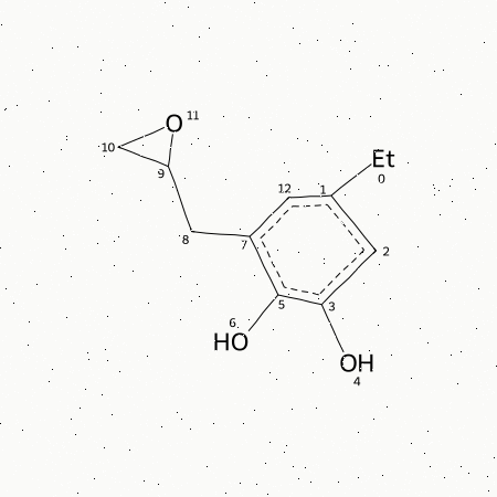 CCc1cc(O)c(O)c(CC2CO2)c1